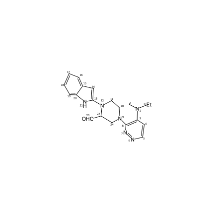 CCN(C)c1ccnnc1N1CCN(c2cc3ccccc3[nH]2)C(C=O)C1